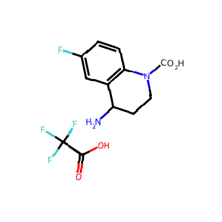 NC1CCN(C(=O)O)c2ccc(F)cc21.O=C(O)C(F)(F)F